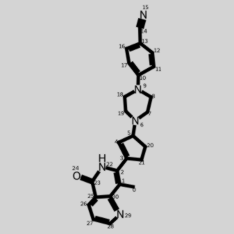 Cc1c(C2=CC(N3CCN(c4ccc(C#N)cc4)CC3)CC2)[nH]c(=O)c2cccnc12